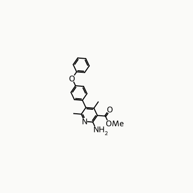 COC(=O)c1c(N)nc(C)c(-c2ccc(Oc3ccccc3)cc2)c1C